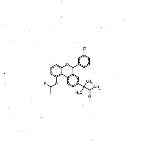 CC(C)(C(N)=O)c1ccc2c(c1)C(c1cccc(Cl)c1)Oc1cccc(OC(F)F)c1-2